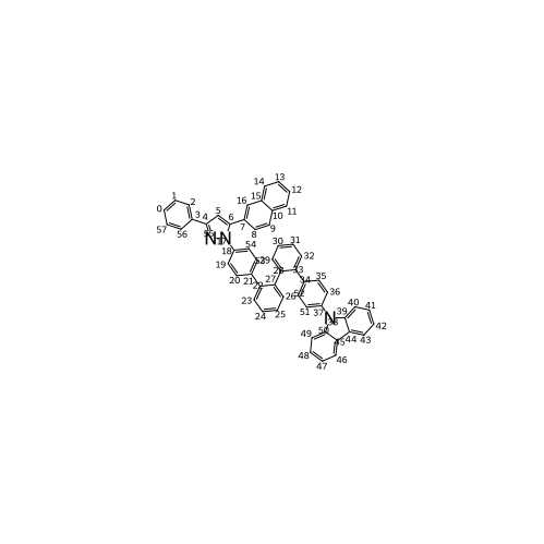 c1ccc(-c2cc(-c3ccc4ccccc4c3)n(-c3ccc(-c4ccccc4-c4ccccc4-c4ccc(-n5c6ccccc6c6ccccc65)cc4)cc3)n2)cc1